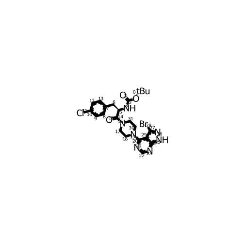 CC(C)(C)OC(=O)N[C@H](Cc1ccc(Cl)cc1)C(=O)N1CCN(c2ncnc3[nH]nc(Br)c23)CC1